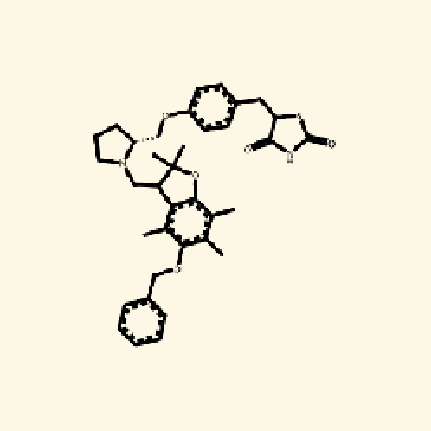 Cc1c(C)c2c(c(C)c1OCc1ccccc1)C(CN1CCC[C@@H]1COc1ccc(CC3SC(=O)NC3=O)cc1)C(C)(C)O2